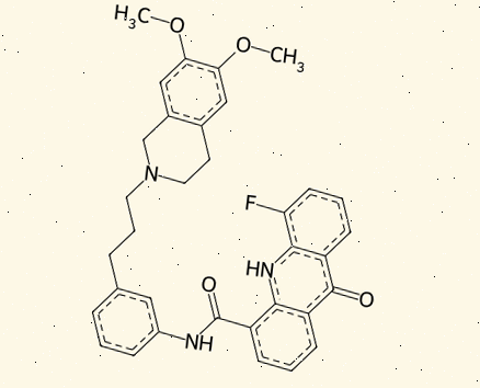 COc1cc2c(cc1OC)CN(CCCc1cccc(NC(=O)c3cccc4c(=O)c5cccc(F)c5[nH]c34)c1)CC2